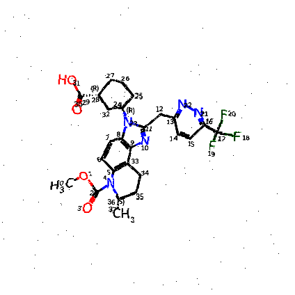 COC(=O)N1c2ccc3c(nc(Cc4ccc(C(F)(F)F)nn4)n3[C@@H]3CCC[C@@H](C(=O)O)C3)c2CC[C@@H]1C